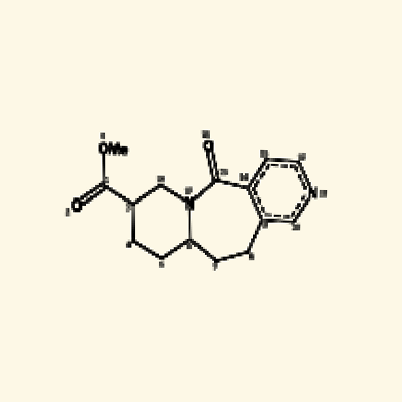 COC(=O)C1CCC2CCc3cnccc3C(=O)N2C1